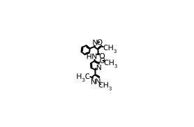 COc1nc(-c2cn(C)nc2C)ccc1NC(=O)c1c(-c2ccccc2)noc1C